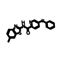 Cc1ccc2nc(NC(=O)c3ccc([I+]c4ccccc4)cn3)sc2c1